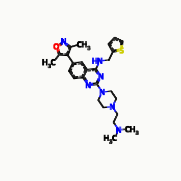 Cc1noc(C)c1-c1ccc2nc(N3CCN(CCN(C)C)CC3)nc(NCc3cccs3)c2c1